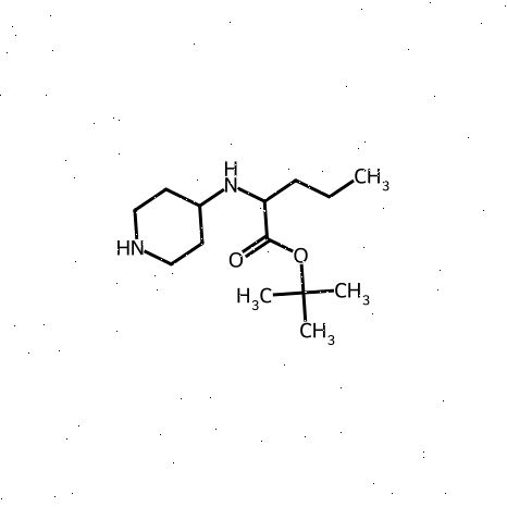 CCCC(NC1CCNCC1)C(=O)OC(C)(C)C